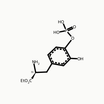 CCOC(=O)[C@@H](N)Cc1ccc(OP(=O)(O)O)c(O)c1